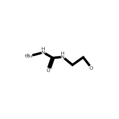 CC(C)(C)NC(=O)NCC[O]